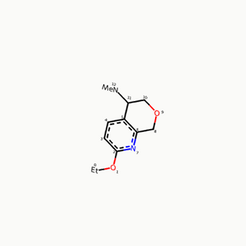 CCOc1ccc2c(n1)COCC2NC